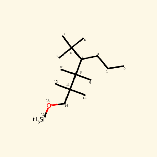 CCCC(C(C)(C)C)C(C)(C)C(C)(C)CO[SiH3]